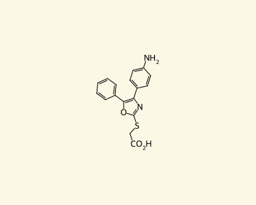 Nc1ccc(-c2nc(SCC(=O)O)oc2-c2ccccc2)cc1